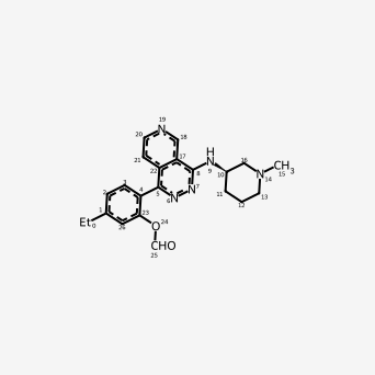 CCc1ccc(-c2nnc(N[C@@H]3CCCN(C)C3)c3cnccc23)c(OC=O)c1